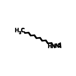 CCCCCCCCCCCNN1CC1